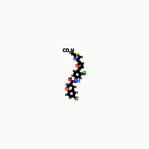 O=C(O)Cc1nc(-c2ccc(-c3ccc(NC(=O)C4=COc5ccc(Cl)cc5C4)cc3Cl)o2)cs1